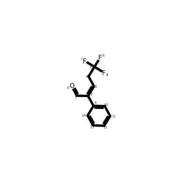 O=CC(=CCC(F)(F)F)c1ccccc1